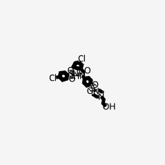 O=C(Nc1ccc(S(=O)(=O)N2CCN(CCO)CC2)cc1)c1cc(Cl)ccc1NS(=O)(=O)c1ccc(Cl)cc1